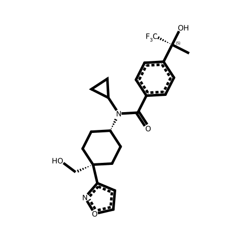 C[C@](O)(c1ccc(C(=O)N(C2CC2)[C@H]2CC[C@](CO)(c3ccon3)CC2)cc1)C(F)(F)F